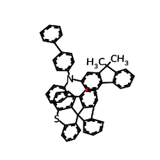 CC1(C)c2ccccc2-c2ccc(N(c3ccc(-c4ccccc4)cc3)c3ccccc3-c3cccc4c3C3(c5ccccc5Sc5ccccc53)c3ccccc3-4)cc21